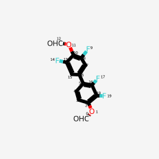 O=COc1ccc(-c2cc(F)c(OC=O)c(F)c2)c(F)c1F